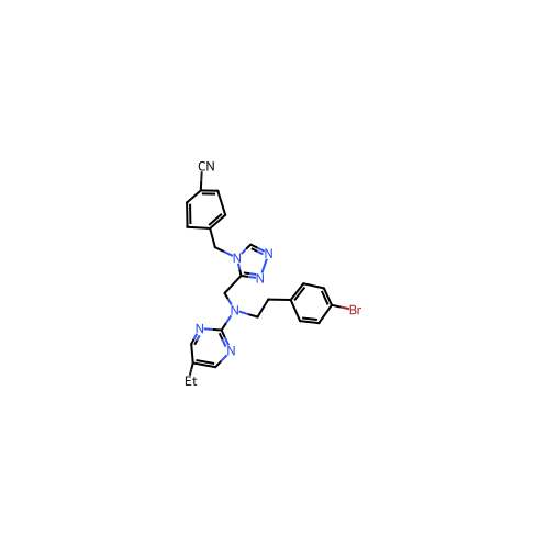 CCc1cnc(N(CCc2ccc(Br)cc2)Cc2nncn2Cc2ccc(C#N)cc2)nc1